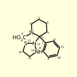 O=C(O)N1CCCCC1(c1ccccc1)N1NCCS1